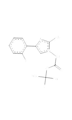 Cc1nc(-c2ccccc2F)cn1NC(=O)OC(C)(C)Cl